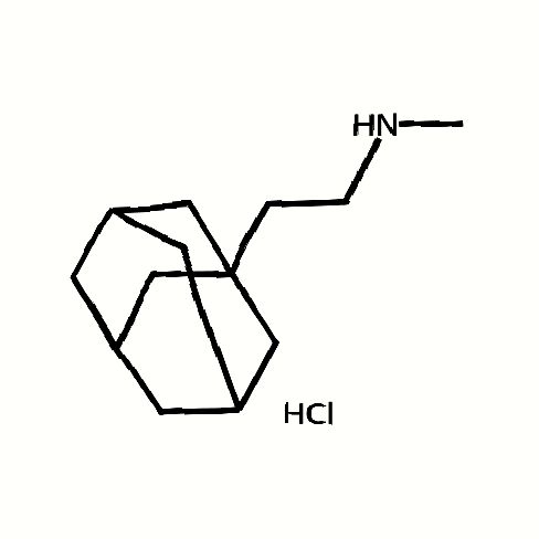 CNCCC12CC3CC(CC(C3)C1)C2.Cl